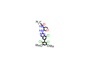 C=CC(=O)N[C@H]1CCOC[C@H]1Nc1ncc2cc(-c3c(Cl)c(OC)cc(OC)c3Cl)cc(Cl)c2n1